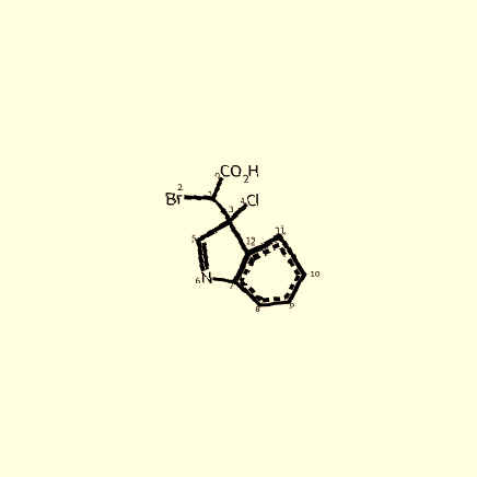 O=C(O)C(Br)C1(Cl)C=Nc2ccccc21